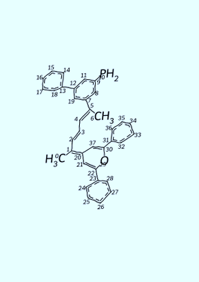 CC(/C=C/C=C(\C)c1cc(P)cc(-c2ccccc2)c1)=C1C=C(c2ccccc2)OC(c2ccccc2)=C1